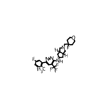 Cc1ccc(F)cc1-c1cc(C(F)(F)F)c(N[C@H]2C[C@@H]3CN(CC4(F)CCOCC4)C[C@@H]3C2)nn1